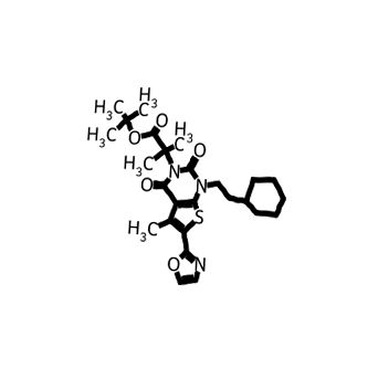 Cc1c(-c2ncco2)sc2c1c(=O)n(C(C)(C)C(=O)OC(C)(C)C)c(=O)n2CCC1CCCCC1